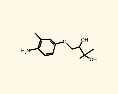 Cc1cc(OCC(O)C(C)(C)O)ccc1N